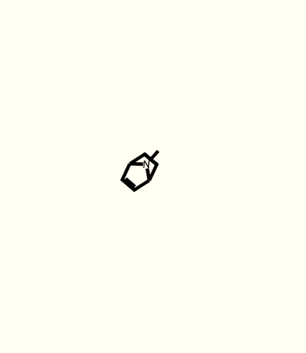 CN1C2C=CC1CC2